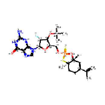 C=C(C)[C@H]1CC[C@@]2(C)S[P@](=S)(OC[C@H]3O[C@@H](n4cnc5c(=O)[nH]c(N)nc54)[C@H](F)C3O[Si](C)(C)C(C)(C)C)O[C@@H]2C1